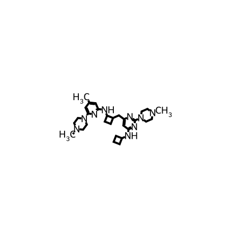 Cc1cc(NC2CCC2Cc2cc(NC3CCC3)nc(N3CCN(C)CC3)n2)nc(N2CCN(C)CC2)c1